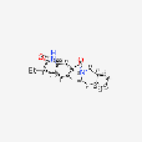 CCc1cc2ccc(C(=O)N3CCc4ccccc4C3)cc2[nH]c1=O